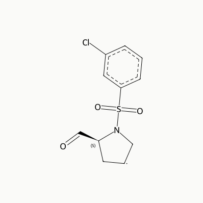 O=C[C@@H]1C[CH]CN1S(=O)(=O)c1cccc(Cl)c1